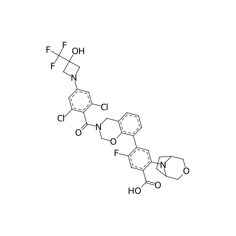 O=C(O)c1cc(F)c(-c2cccc3c2OCN(C(=O)c2c(Cl)cc(N4CC(O)(C(F)(F)F)C4)cc2Cl)C3)cc1N1C2CCC1COC2